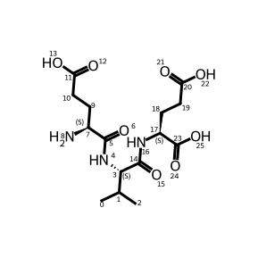 CC(C)[C@H](NC(=O)[C@@H](N)CCC(=O)O)C(=O)N[C@@H](CCC(=O)O)C(=O)O